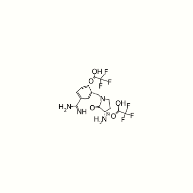 N=C(N)c1cccc(CN2CC[C@H](N)C2=O)c1.O=C(O)C(F)(F)F.O=C(O)C(F)(F)F